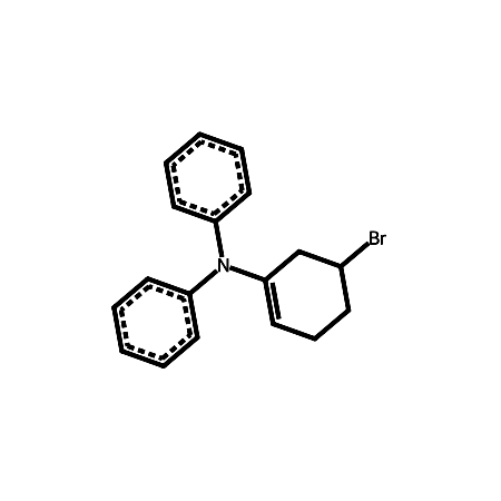 BrC1CCC=C(N(c2ccccc2)c2ccccc2)C1